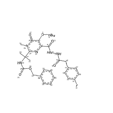 CCCCOc1c(C(=O)NNC(=O)Cc2ccc(F)cc2)nc(C(C)(C)NC(=O)OCc2ccccc2)n(C)c1=O